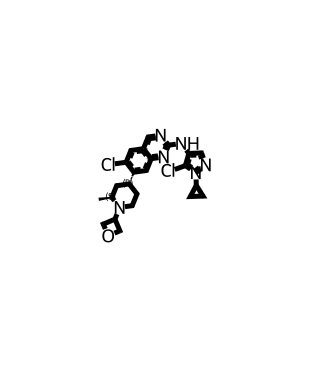 C[C@H]1C[C@H](c2cc3nc(Nc4cnn(C5CC5)c4Cl)ncc3cc2Cl)CCN1C1COC1